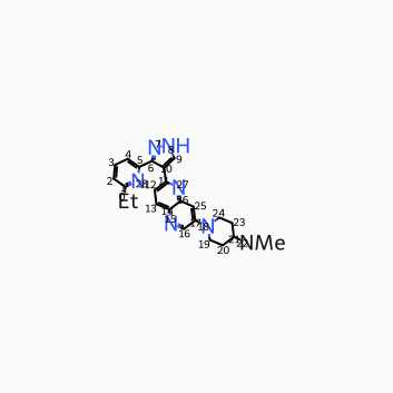 CCc1cccc(-c2n[nH]cc2-c2ccc3ncc(N4CCC(NC)CC4)cc3n2)n1